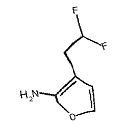 Nc1occc1CC(F)F